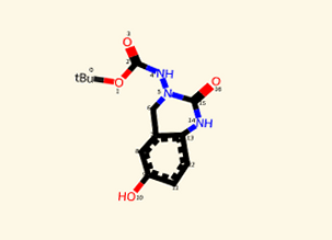 CC(C)(C)OC(=O)NN1Cc2cc(O)ccc2NC1=O